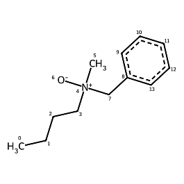 CCCC[N+](C)([O-])Cc1ccccc1